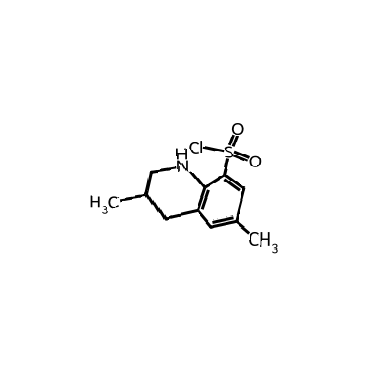 Cc1cc2c(c(S(=O)(=O)Cl)c1)NCC(C)C2